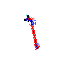 CC(C)(C)C(c1nc(-c2cc(F)ccc2F)cn1Cc1ccccc1)N(CC1CNCC1CNC(=O)CCOCCOCCOCCOCCOCCOCCOCCOCCNC(=O)CCN1C(=O)C=CC1=O)C(=O)CO